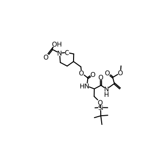 C=C(NC(=O)C(CO[Si](C)(C)C(C)(C)C)NC(=O)OCC1CCN(C(=O)O)CC1)C(=O)OC